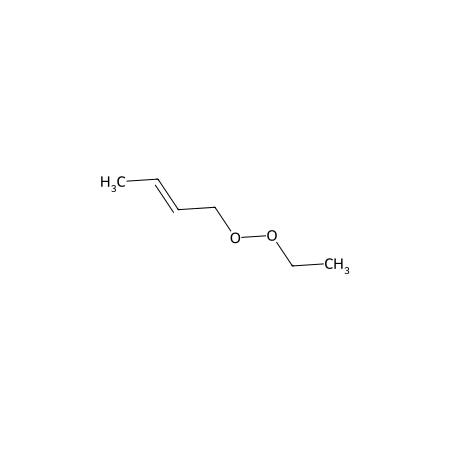 CC=CCOOCC